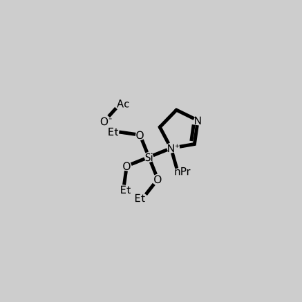 CC(=O)[O-].CCC[N+]1([Si](OCC)(OCC)OCC)C=NCC1